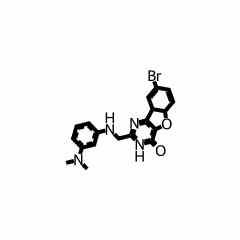 CN(C)c1cccc(NCc2nc3c(c(=O)[nH]2)OC2C=CC(Br)=CC32)c1